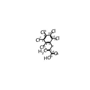 C=C(Cc1c(Cl)c(Cl)c(Cl)c(Cl)c1Cl)C(=O)O